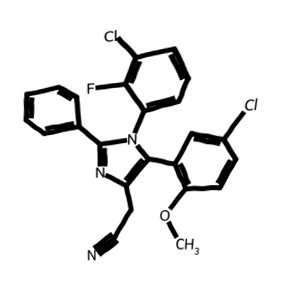 COc1ccc(Cl)cc1-c1c(CC#N)nc(-c2ccccc2)n1-c1cccc(Cl)c1F